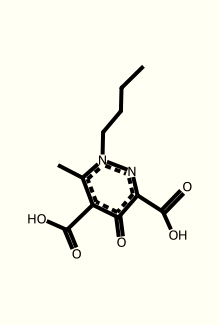 CCCCn1nc(C(=O)O)c(=O)c(C(=O)O)c1C